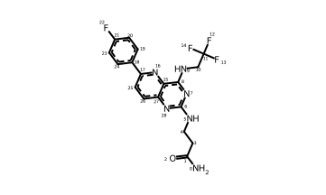 NC(=O)CCNc1nc(NCC(F)(F)F)c2nc(-c3ccc(F)cc3)ccc2n1